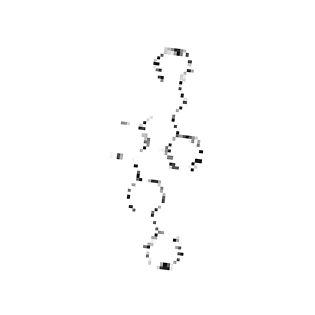 CC(C)=C(C(=O)N1CCC(c2ccccc2)CC1)c1ccccc1CCc1ccccc1